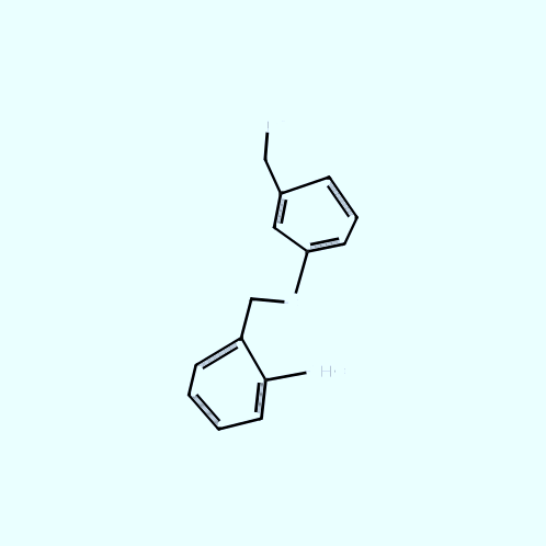 CC(C)Cc1cccc(OCc2ccccc2C=O)c1